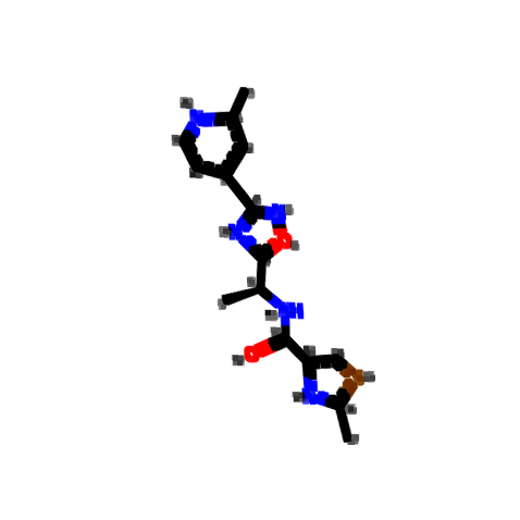 Cc1cc(-c2noc([C@H](C)NC(=O)c3csc(C)n3)n2)ccn1